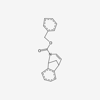 O=C(OCc1ccccc1)N1C=CC2CC1c1ccccc12